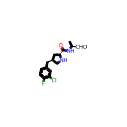 C[C@@H](C=O)NC(=O)[C@H]1C[C@H](Cc2ccc(F)c(Cl)c2)CN1